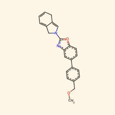 COCc1ccc(-c2ccc3oc(N4C=C5CC=CC=C5C4)nc3c2)cc1